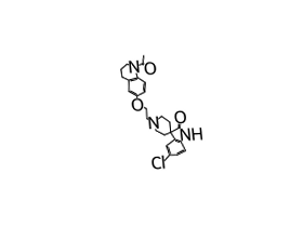 CC(=O)N1CCCc2cc(OCCN3CCC4(CC3)C(=O)Nc3ccc(Cl)cc34)ccc21